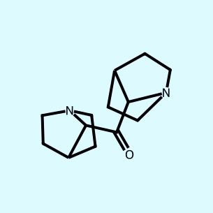 O=C(C1C2CCN1CC2)C1C2CCN1CC2